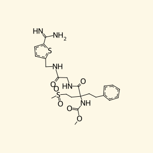 COC(=O)NC(CCc1ccccc1)(CCS(C)(=O)=O)C(=O)NCC(=O)NCc1ccc(C(=N)N)s1